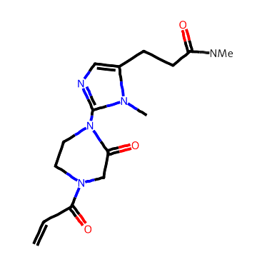 C=CC(=O)N1CCN(c2ncc(CCC(=O)NC)n2C)C(=O)C1